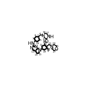 O=C1CN(Cc2ccc(Nc3ncc4ccn(-c5cc(F)c(CN6CCOCC6)c(F)c5)c4n3)cc2)CCN1